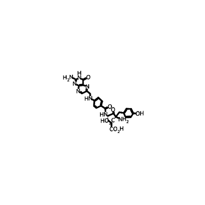 Nc1nc2ncc(CNc3ccc(C(=O)N[C@@H](CCC(=O)O)C(=O)[C@](N)(Cc4ccc(O)cc4)C(=O)O)cc3)nc2c(=O)[nH]1